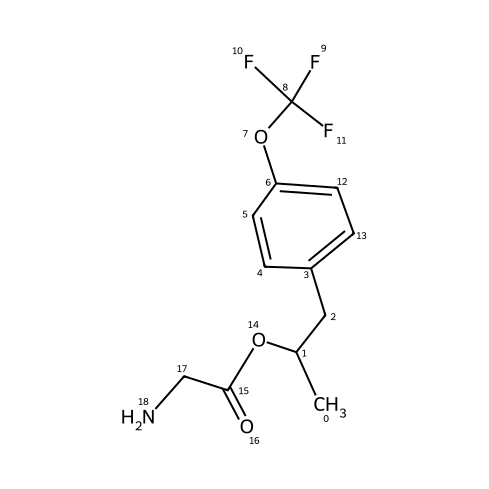 CC(Cc1ccc(OC(F)(F)F)cc1)OC(=O)CN